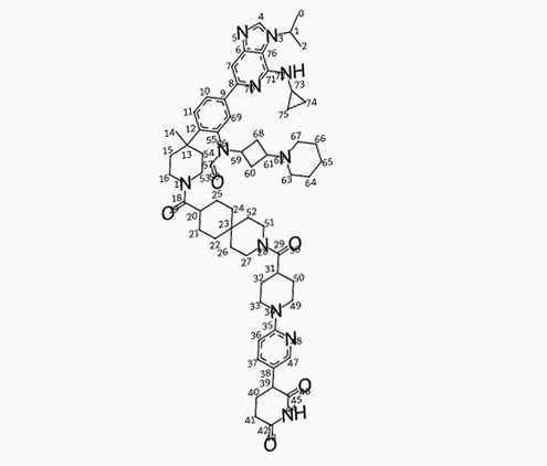 CC(C)n1cnc2cc(-c3ccc(C4(C)CCN(C(=O)C5CCC6(CC5)CCN(C(=O)C5CCN(c7ccc(C8CCC(=O)NC8=O)cn7)CC5)CC6)CC4)c(N(C=O)C4CC(N5CCCCC5)C4)c3)nc(NC3CC3)c21